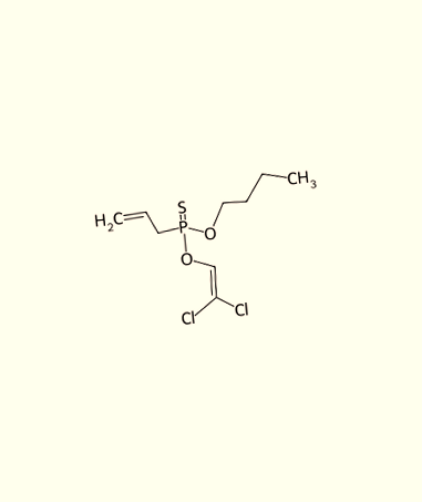 C=CCP(=S)(OC=C(Cl)Cl)OCCCC